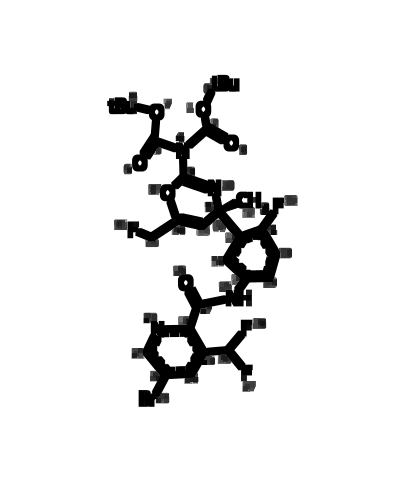 CC(C)(C)OC(=O)N(C(=O)OC(C)(C)C)C1=N[C@](C)(c2cc(NC(=O)c3ncc(Br)cc3C(F)F)ccc2F)C=C(CF)O1